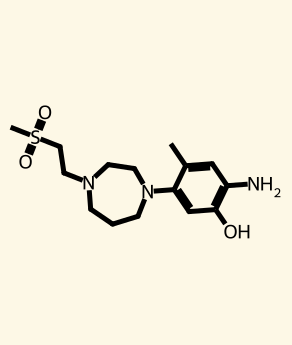 Cc1cc(N)c(O)cc1N1CCCN(CCS(C)(=O)=O)CC1